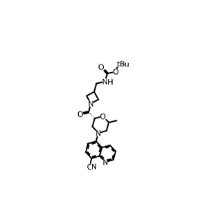 CC1CN(c2ccc(C#N)c3ncccc23)C[C@H](C(=O)N2CC(CNC(=O)OC(C)(C)C)C2)O1